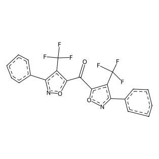 O=C(c1onc(-c2ccccc2)c1C(F)(F)F)c1onc(-c2ccccc2)c1C(F)(F)F